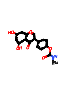 CC(C)(C)NC(=O)Oc1ccc(-c2coc3cc(O)cc(O)c3c2=O)cc1